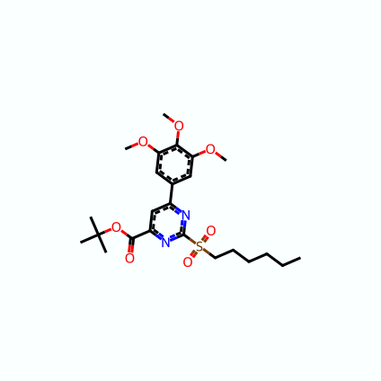 CCCCCCS(=O)(=O)c1nc(C(=O)OC(C)(C)C)cc(-c2cc(OC)c(OC)c(OC)c2)n1